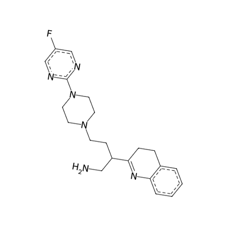 NCC(CCN1CCN(c2ncc(F)cn2)CC1)C1=Nc2ccccc2CC1